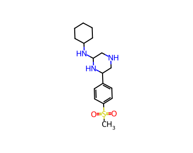 CS(=O)(=O)c1ccc(C2CNCC(NC3CCCCC3)N2)cc1